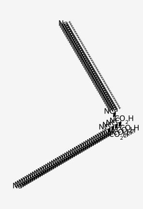 N#CCCC(=O)O.N#CCCC(=O)O.N#CCCC(=O)O.N#CCCC(=O)O.N#CCCC(=O)O.[Na+].[Na+].[Na+].[Na+].[Na+].[Na+].[Na+].[Na+].[Na+].[Na+].[Na+].[Na+].[Na+].[Na+].[Na+].[Na+].[Na+].[Na+].[Na+].[Na+].[Na+].[Na+].[Na+].[Na+].[Na+].[Na+].[Na+].[Na+].[Na+].[Na+].[Na+].[Na+].[Na+].[Na+].[Na+].[Na+].[Na+].[Na+].[Na+].[Na+].[Na+].[Na+].[Na+].[Na+].[Na+].[Na+].[Na+].[Na+].[Na+].[Na+].[Na+].[Na+].[Na+].[Na+].[Na+].[Na+].[Na+].[Na+].[Na+].[Na+].[Na+].[Na+].[Na+].[Na+].[Na+].[Na+].[Na+].[Na+].[Na+].[Na+].[Na+].[Na+].[Na+].[Na+].[Na+].[Na+].[Na+].[Na+].[Na+].[Na+].[Na+].[Na+].[Na+].[Na+].[Na+].[Na+].[Na+].[Na+].[Na+].[Na+].[Na+].[Na+].[Na+].[Na+].[Na+]